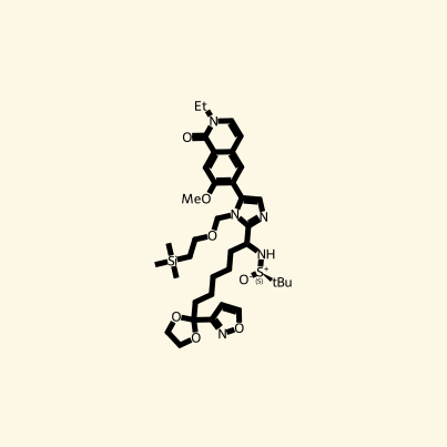 CCn1ccc2cc(-c3cnc(C(CCCCCC4(c5ccon5)OCCO4)N[S@+]([O-])C(C)(C)C)n3COCC[Si](C)(C)C)c(OC)cc2c1=O